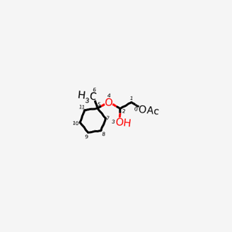 CC(=O)OCC(O)OC1(C)CCCCC1